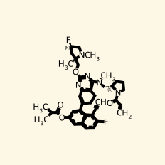 C#Cc1c(F)ccc2cc(OC(=O)C(C)C)cc(C3=Cc4nc(OC[C@]5(C)C[C@@H](F)CN5C)nc(N(C)C[C@@H]5CCCN5C(=O)C=C)c4CC3)c12